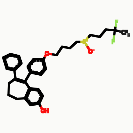 [O-][S+](CCCCOc1ccc(C2=C(c3ccccc3)CCCc3cc(O)ccc32)cc1)CCCC(F)(F)C(F)(F)F